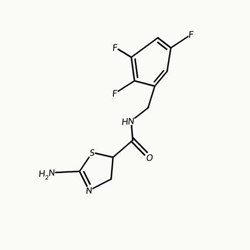 NC1=NCC(C(=O)NCc2cc(F)cc(F)c2F)S1